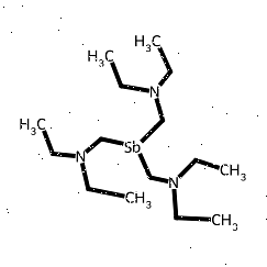 CCN(CC)[CH2][Sb]([CH2]N(CC)CC)[CH2]N(CC)CC